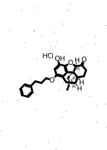 CN1CC[C@]23c4c5c(OCCCc6ccccc6)cc(O)c4O[C@H]2C(=O)CC[C@H]3[C@H]1C5.Cl